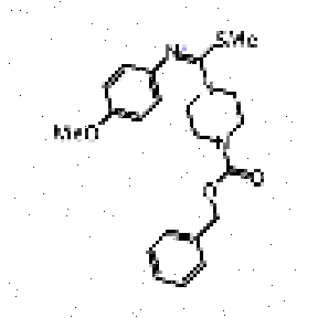 COc1ccc(/N=C(/SC)N2CCN(C(=O)OCc3ccccc3)CC2)cc1